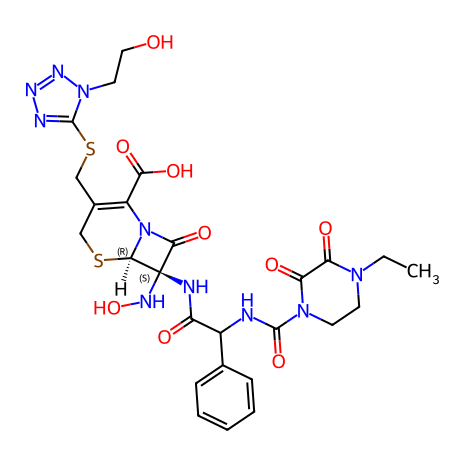 CCN1CCN(C(=O)NC(C(=O)N[C@]2(NO)C(=O)N3C(C(=O)O)=C(CSc4nnnn4CCO)CS[C@@H]32)c2ccccc2)C(=O)C1=O